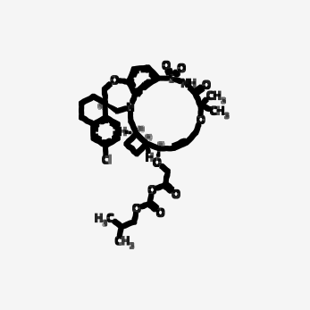 CC(C)COC(=O)OC(=O)CO[C@H]1C=CCOC(C)(C)C(=O)NS(=O)(=O)c2ccc3c(c2)N(C[C@@H]2CC[C@H]21)C[C@@]1(CCCc2cc(Cl)ccc21)CO3